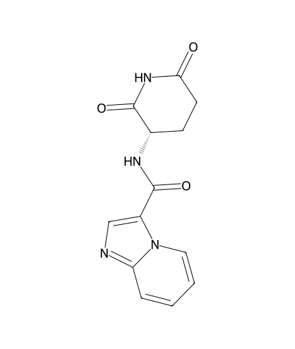 O=C1CC[C@H](NC(=O)c2cnc3ccccn23)C(=O)N1